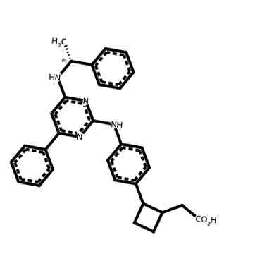 C[C@@H](Nc1cc(-c2ccccc2)nc(Nc2ccc(C3CCC3CC(=O)O)cc2)n1)c1ccccc1